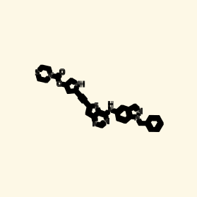 O=C(OC1CNC(C#Cc2cc3ncnc(Nc4ccc5c(cnn5Cc5ccccc5)c4)c3s2)C1)N1CCSCC1